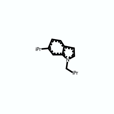 CC(C)Cn1ccc2ccc(C(C)C)cc21